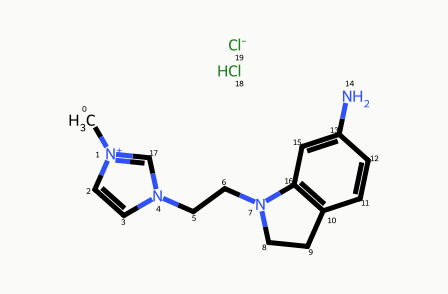 C[n+]1ccn(CCN2CCc3ccc(N)cc32)c1.Cl.[Cl-]